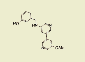 COc1cncc(-c2cncc(NCc3cccc(O)c3)c2)c1